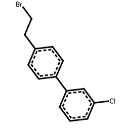 Clc1cccc(-c2ccc(CCBr)cc2)c1